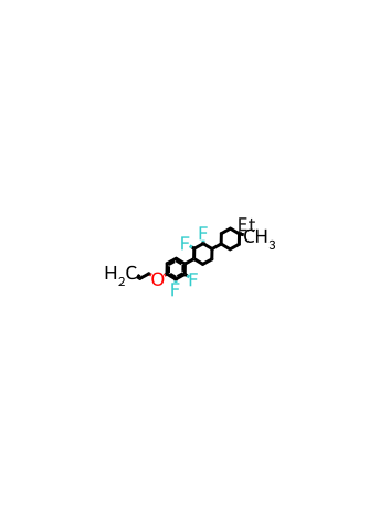 C=CCOc1ccc(C2CCC(C3CCC(C)(CC)CC3)C(F)C2F)c(F)c1F